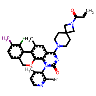 C=CC(=O)N1CC2(CCN(c3nc(=O)n(-c4c(C)ccnc4C(C)C)c4c5c(c(C)cc34)-c3c(ccc(P)c3F)CO5)CC2)C1